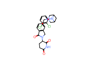 O=C1CCC(N2Cc3cc(CN4CC5CC(C4)N5c4cccc(Cl)c4Cl)ccc3C2=O)C(=O)N1